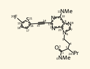 CNC(=O)C(CCn1cnc2c(NC)nc(C#Cc3ccc(F)s3)nc21)C(C)C